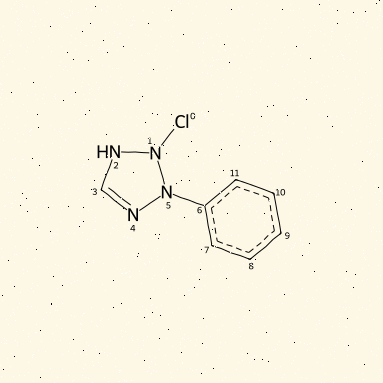 ClN1NC=NN1c1ccccc1